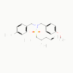 C=CC[C@H](C)[C@H](C)S(=O)(=O)N(Cc1ccc(C)cc1)Cc1ccc(OC)cc1